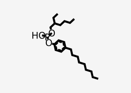 CCCCCCCCCc1ccc(OP(O)OCC(CC)CCCC)cc1